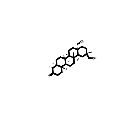 C[C@H]1C(=O)CC[C@@H]2[C@]1(C)CC[C@H]1[C@@]2(C)CC[C@@]2(C)[C@@H]3C[C@@](C)(CO)CC[C@]3(CO)CC[C@]12C